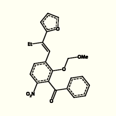 CCC(=Cc1ccc([N+](=O)[O-])c(C(=O)c2ccccc2)c1OCOC)c1ccco1